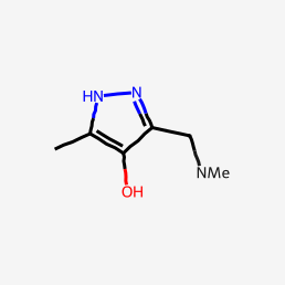 CNCc1n[nH]c(C)c1O